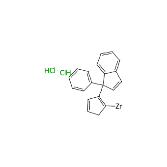 Cl.Cl.[Zr][C]1=C(C2(c3ccccc3)C=Cc3ccccc32)C=CC1